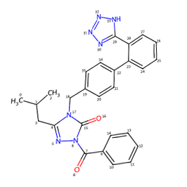 CC(C)Cc1nn(C(=O)c2ccccc2)c(=O)n1Cc1ccc(-c2ccccc2-c2nnn[nH]2)cc1